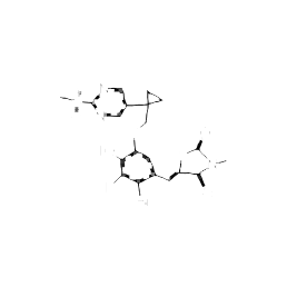 CN1C(=O)S/C(=C\c2cc(OCC3(c4cnc(S(C)(=O)=O)nc4)CC3)c(O)c(F)c2Br)C1=O